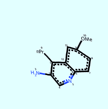 [CH2]CCc1c(N)cnc2ccc(OC)cc12